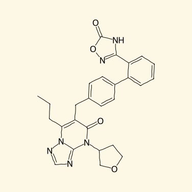 CCCc1c(Cc2ccc(-c3ccccc3-c3noc(=O)[nH]3)cc2)c(=O)n(C2CCOC2)c2ncnn12